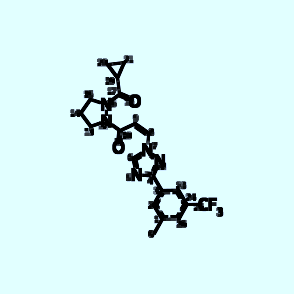 Cc1cc(-c2ncn(/C=C\C(=O)N3CCCN3C(=O)C3CC3)n2)cc(C(F)(F)F)c1